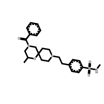 CNS(=O)(=O)c1ccc(CCN2CCC3(CC2)CN(C(=O)c2ccccc2)CC(C)O3)cc1